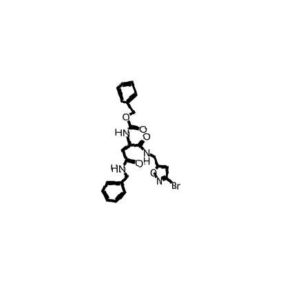 O=C(CC(NC(=O)OCc1ccccc1)C(=O)NCC1CC(Br)=NO1)NCc1ccccc1